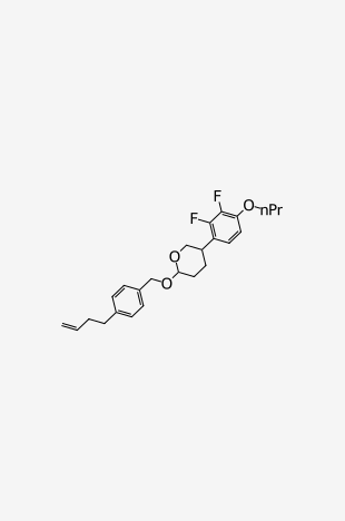 C=CCCc1ccc(COC2CCC(c3ccc(OCCC)c(F)c3F)CO2)cc1